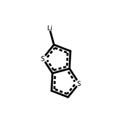 [Li][c]1cc2sccc2s1